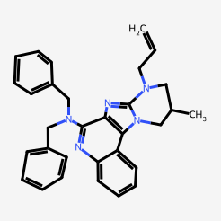 C=CCN1CC(C)Cn2c1nc1c(N(Cc3ccccc3)Cc3ccccc3)nc3ccccc3c12